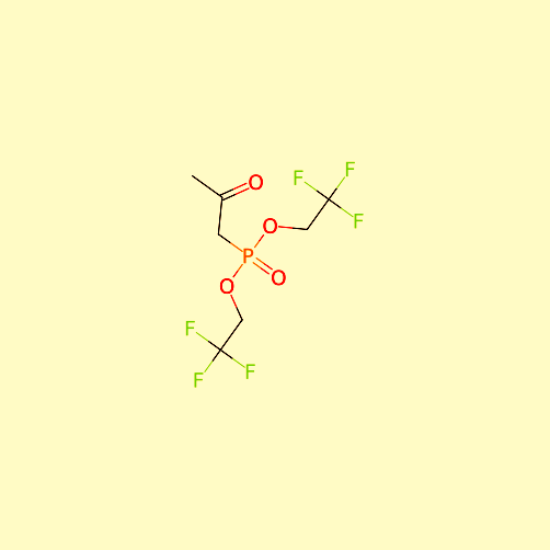 CC(=O)CP(=O)(OCC(F)(F)F)OCC(F)(F)F